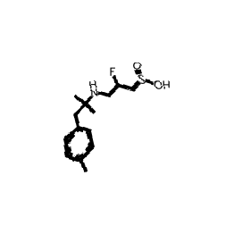 Cc1ccc(CC(C)(C)NCC(F)CS(=O)O)cc1